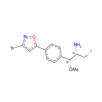 CO[C@H](c1ccc(-c2cc(Br)no2)cc1)[C@H](N)CF